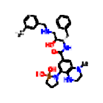 CCN1CCNc2c1cc(C(=O)N[C@@H](Cc1ccccc1)[C@@H](O)CNCc1cccc(C(F)(F)F)c1)cc2N1CCCS1(O)O